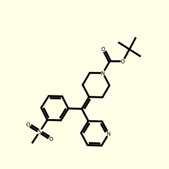 CC(C)(C)OC(=O)N1CCC(=C(c2cccnc2)c2cccc(S(C)(=O)=O)c2)CC1